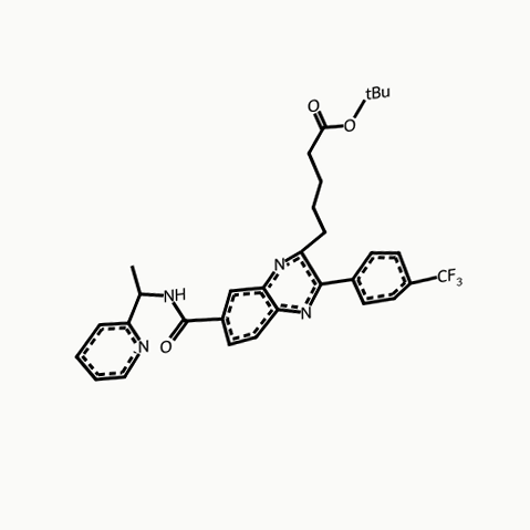 CC(NC(=O)c1ccc2nc(-c3ccc(C(F)(F)F)cc3)c(CCCCC(=O)OC(C)(C)C)nc2c1)c1ccccn1